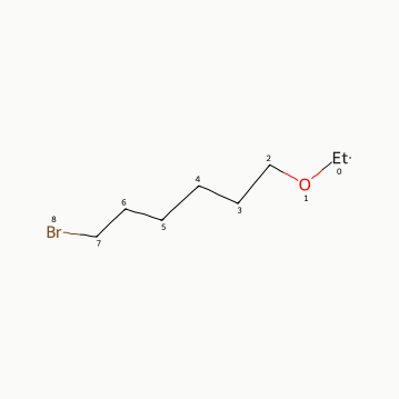 C[CH]OCCCCCCBr